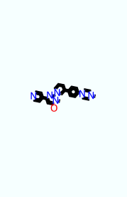 CN1CCN(c2ccc(C3CCCN(c4nc(-c5ccncc5)cc(=O)n4C)C3)cc2)CC1